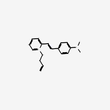 C=CCC[n+]1ccccc1/C=C/c1ccc(N(C)C)cc1